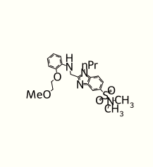 CCCn1c(CNc2ccccc2OCCOC)nc2cc(S(=O)(=O)N(C)C)ccc21